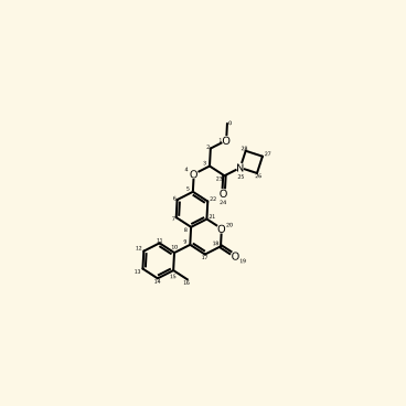 COCC(Oc1ccc2c(-c3ccccc3C)cc(=O)oc2c1)C(=O)N1CCC1